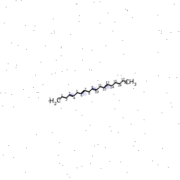 [CH2]CC/C=C/C/C=C/C/C=C/C/C=C/CCCCC